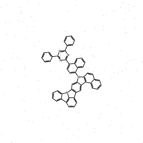 c1ccc(-c2nc(-c3ccccc3)nc(-c3ccc(-n4c5cc6c(cc5c5c7ccccc7ccc54)c4cccc5c7ccccc7n6c54)c4ccccc34)n2)cc1